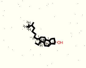 [2H]C([2H])([2H])C(C)CCC[C@@H](C)[C@H]1CC[C@H]2[C@@H]3CC=C4C[C@@H](O)CC[C@]4(C)[C@H]3CC[C@]12C